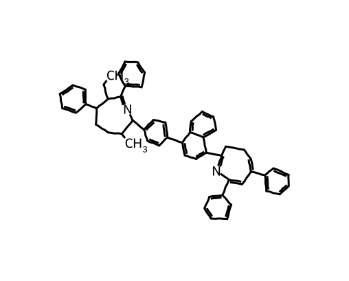 CCC1/C(c2ccccc2)=N\C(c2ccc(-c3ccc(/C4=N/C(c5ccccc5)=C\C(c5ccccc5)=C/CC4)c4ccccc34)cc2)C(C)CCC1c1ccccc1